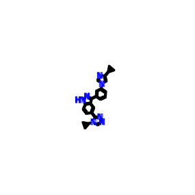 c1cc(-c2n[nH]c3ccc(-c4nncn4C4CC4)cc23)cc(-n2cnc(C3CC3)c2)c1